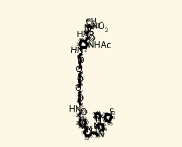 CC(=O)Nc1cc(NCCOCCOCCOCCOCCOCCNC(=O)CN2CCN(c3cccc(-c4cnc5ccc(N6CCC[C@@H]6c6cccc(F)c6)nn45)n3)CC2)ccc1C(=O)Nc1nc(C)c([N+](=O)[O-])s1